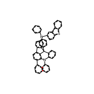 c1ccc(-c2ccc3c4c2N(c2ccccc2)c2ccccc2C4(c2ccccc2)c2cc(N(c4ccccc4)c4ccc5sc6ccccc6c5c4)ccc2-3)cc1